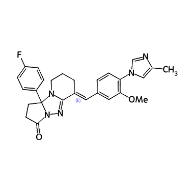 COc1cc(/C=C2\CCCN3C2=NN2C(=O)CCC32c2ccc(F)cc2)ccc1-n1cnc(C)c1